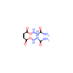 NC(=O)NNOC(=O)/C=C\C(=O)ONNC(N)=O